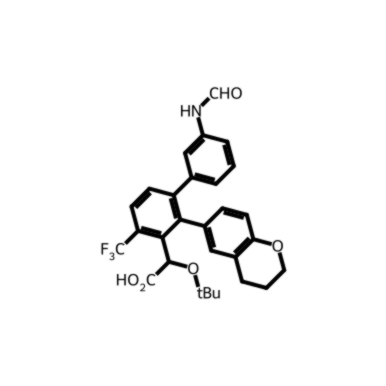 CC(C)(C)OC(C(=O)O)c1c(C(F)(F)F)ccc(-c2cccc(NC=O)c2)c1-c1ccc2c(c1)CCCO2